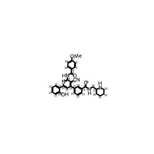 COc1ccc(C(=O)Nc2nc(-c3ccccc3O)cc(-c3cccc(C(=O)NCC4CCCCN4)c3)c2C#N)cc1